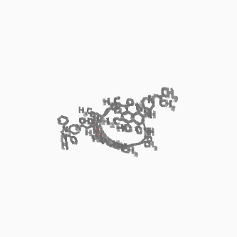 COCC1/C=C/O[C@@]2(C)Oc3c(C)c(O)c4c(c3C2=O)C2=NC3(CCN(CC(C)C)CC3)NC2=C(NC(=O)/C(C)=C\C=C\[C@H](C)[C@H](O)[C@@H](C)[C@@H](O)[C@@H](C)[C@H](OC(=O)CC(=O)N2CCC3(CC2)C(=O)NCN3c2ccccc2)[C@@H]1C)C4=O